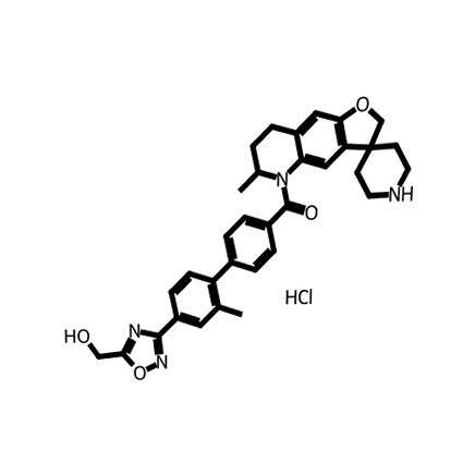 Cc1cc(-c2noc(CO)n2)ccc1-c1ccc(C(=O)N2c3cc4c(cc3CCC2C)OCC42CCNCC2)cc1.Cl